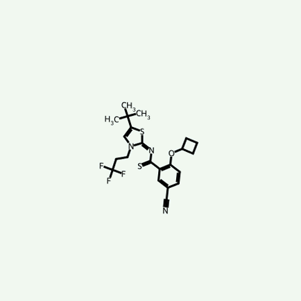 CC(C)(C)c1cn(CCC(F)(F)F)c(=NC(=S)c2cc(C#N)ccc2OC2CCC2)s1